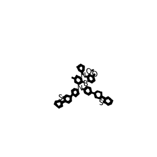 Cc1cc2c3c(c1)N(c1ccccc1)c1c(ccc4c1OCO4)B3c1cc(C3=Cc4sc5ccccc5c4CC3)ccc1N2c1ccc(-c2ccc3c(c2)sc2ccccc23)cc1